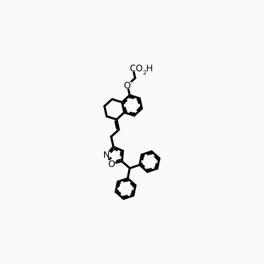 O=C(O)COc1cccc2c1CCCC2=CCc1cc(C(c2ccccc2)c2ccccc2)on1